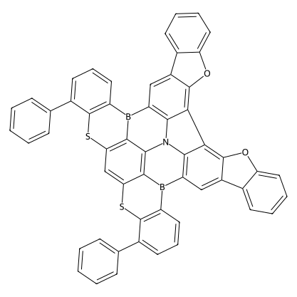 c1ccc(-c2cccc3c2Sc2cc4c5c6c2B3c2cc3c7ccccc7oc3c3c7c8oc9ccccc9c8cc(c7n-6c23)B5c2cccc(-c3ccccc3)c2S4)cc1